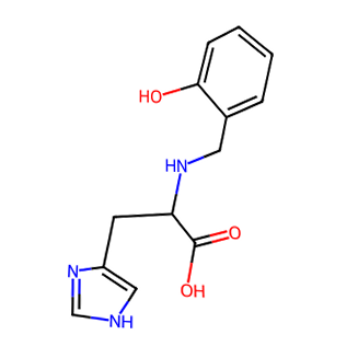 O=C(O)C(Cc1c[nH]cn1)NCc1ccccc1O